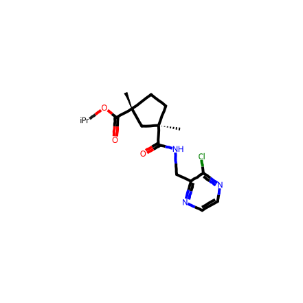 CC(C)OC(=O)[C@]1(C)CC[C@@](C)(C(=O)NCc2nccnc2Cl)C1